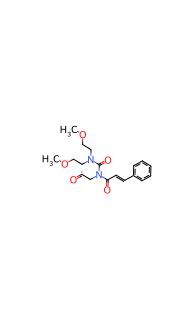 COCCN(CCOC)C(=O)N(C[C]=O)C(=O)C=Cc1ccccc1